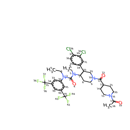 CCN(C(=O)N(C)C1CCN(C(=O)C2CCN(C(C)=O)CC2)CC1c1ccc(Cl)c(Cl)c1)c1cc(C(F)(F)F)cc(C(F)(F)F)c1